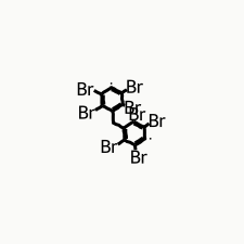 Brc1[c]c(Br)c(Br)c(Cc2c(Br)c(Br)[c]c(Br)c2Br)c1Br